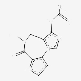 CN1Cc2c(OC(N)=O)ncn2-c2ccsc2C1=O